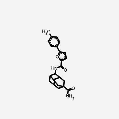 Cc1ccc(-c2ccc(C(=O)NC3C4CC5CC3CC(C(N)=O)(C5)C4)o2)cc1